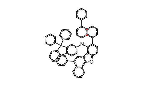 c1ccc(-c2ccc(N(c3ccc4c(c3)C(c3ccccc3)(c3ccccc3)c3ccccc3-4)c3c(-c4ccccc4)ccc4oc5c6ccccc6c(-c6ccccc6)cc5c34)cc2)cc1